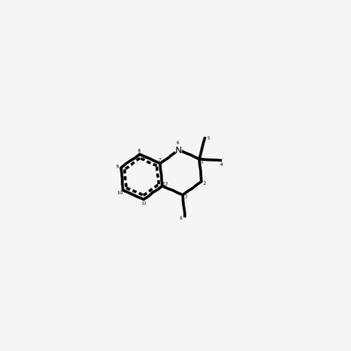 CC1CC(C)(C)[N]c2ccccc21